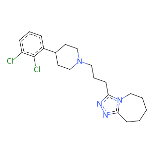 Clc1cccc(C2CCN(CCCc3nnc4n3CCCCC4)CC2)c1Cl